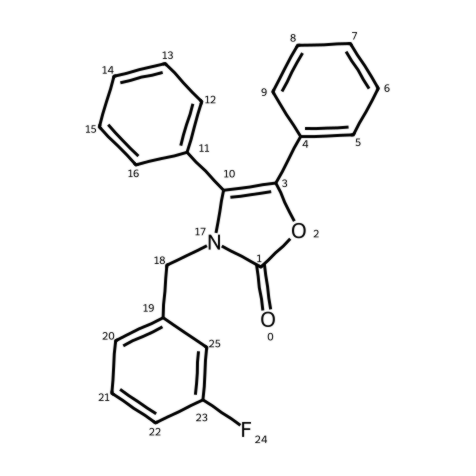 O=c1oc(-c2ccccc2)c(-c2ccccc2)n1Cc1cccc(F)c1